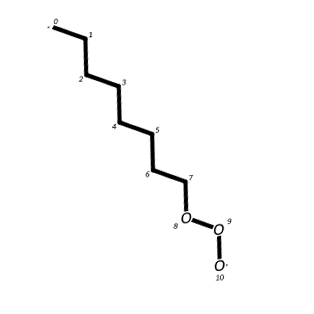 [CH2]CCCCCCCOO[O]